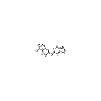 COC(=O)c1ccc(Oc2ccc3nonc3c2)cc1